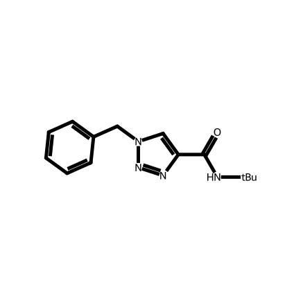 CC(C)(C)NC(=O)c1cn(Cc2ccccc2)nn1